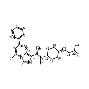 Cc1cc(-c2ccccn2)nc2c(C(=O)N[C@H]3CC[C@H](OCC(C)C)CC3)ncn12